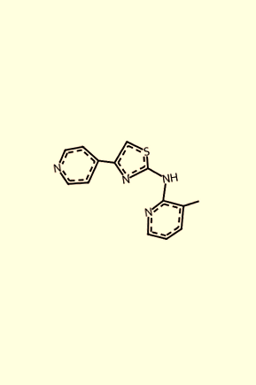 Cc1cccnc1Nc1nc(-c2ccncc2)cs1